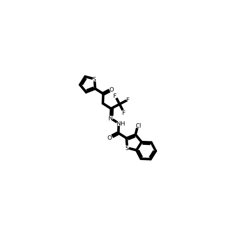 O=C(CC(=NNC(=O)c1sc2ccccc2c1Cl)C(F)(F)F)c1cccs1